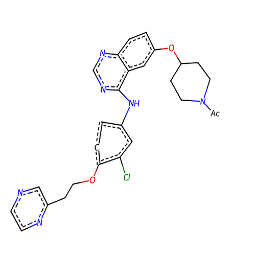 CC(=O)N1CCC(Oc2ccc3ncnc(Nc4ccc(OCCc5cnccn5)c(Cl)c4)c3c2)CC1